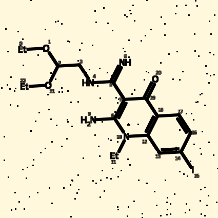 CCOC(CNC(=N)c1c(N)n(CC)c2cc(I)ccc2c1=O)OCC